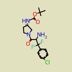 CC(C)(C)OC(=O)N[C@H]1CCN(C(=O)C(N)C(F)(F)c2ccc(Cl)cc2)C1